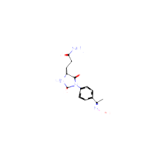 C/C(=N\O)c1ccc(N2C(=O)NC(CCC(N)=O)C2=O)cc1